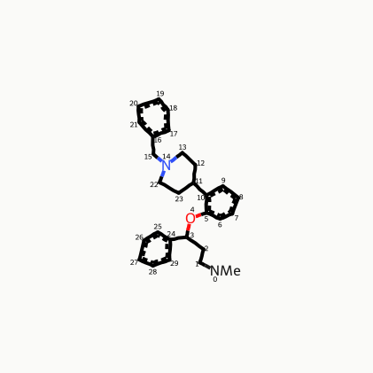 CNCCC(Oc1ccccc1C1CCN(Cc2ccccc2)CC1)c1ccccc1